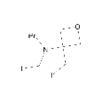 CC(C)N(CI)C1(CI)COC1